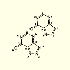 O=C1N=CN=C2N=CN=C12.O=C1N=CN=C2N=NN=C12